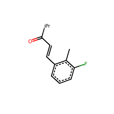 Cc1c(F)cccc1/C=C/C(=O)C(C)C